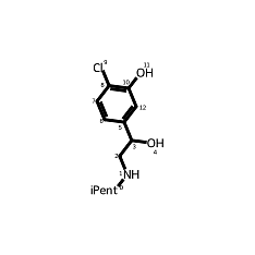 CCCC(C)NCC(O)c1ccc(Cl)c(O)c1